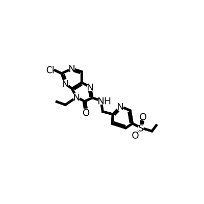 CCn1c(=O)c(NCc2ccc(S(=O)(=O)CC)cn2)nc2cnc(Cl)nc21